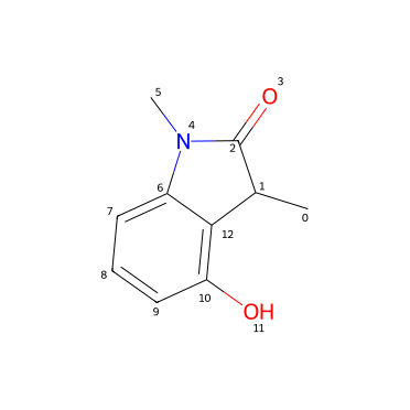 CC1C(=O)N(C)c2cccc(O)c21